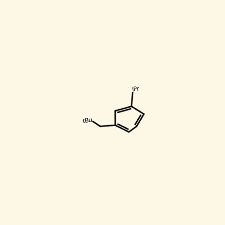 CC(C)c1cccc(CC(C)(C)C)c1